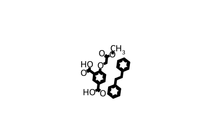 COC(=O)COc1ccc(C(=O)O)cc1C(=O)O.c1ccc(CCc2ccccc2)cc1